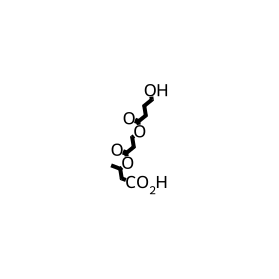 CC(CC(=O)O)OC(=O)CCOC(=O)CCCO